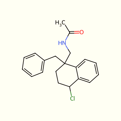 CC(=O)NCC1(Cc2ccccc2)CCC(Cl)c2ccccc21